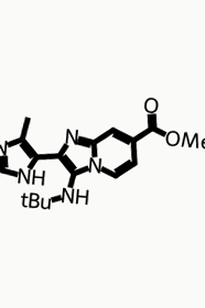 COC(=O)c1ccn2c(NC(C)(C)C)c(-c3[nH]cnc3C)nc2c1